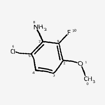 COc1ccc(Cl)c(N)c1F